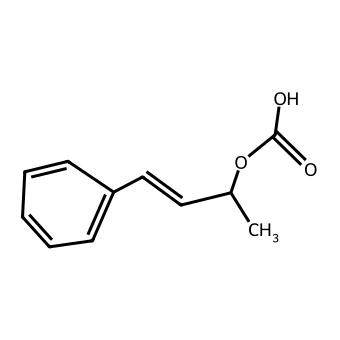 CC(C=Cc1ccccc1)OC(=O)O